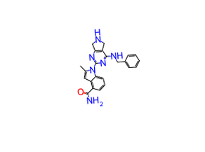 Cc1cc2c(C(N)=O)cccc2n1-c1nc2c(c(NCc3ccccc3)n1)CNC2